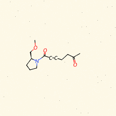 COC[C@@H]1CCCN1C(=O)CCCCC(C)=O